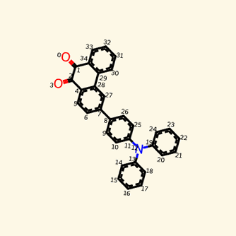 O=C1C(=O)c2ccc(-c3ccc(N(c4ccccc4)c4ccccc4)cc3)cc2-c2ccccc21